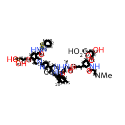 CNCCC(=O)Nc1cc(/C=C/COC(=O)N(C)CCOC23CC4(C)CC(C)(CC(CN/C(C)=C(\C=N)c5ccc(N6CCc7c(OCCCP(O)O)ccc(C(=O)Nc8nc9ccccc9s8)c7C6)nc5C(=O)O)(C4)C2)C3)ccc1OC1CC(O)CC(C(=O)O)O1